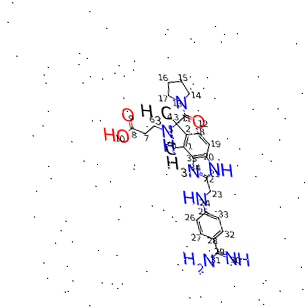 Cc1c(C(C)(NCCC(=O)O)C(=O)N2CCCC2)ccc2[nH]c(CNc3ccc(C(=N)N)cc3)nc12